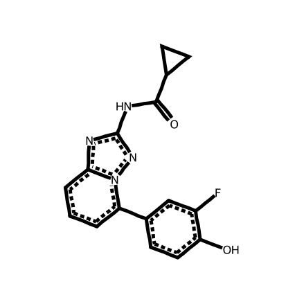 O=C(Nc1nc2cccc(-c3ccc(O)c(F)c3)n2n1)C1CC1